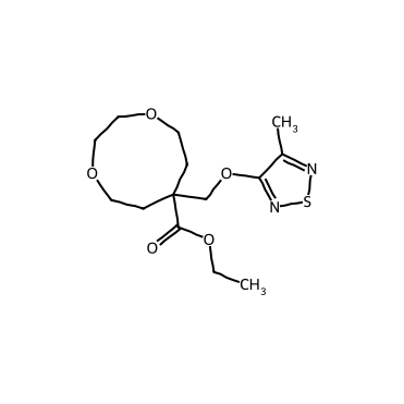 CCOC(=O)C1(COc2nsnc2C)CCOCCOCC1